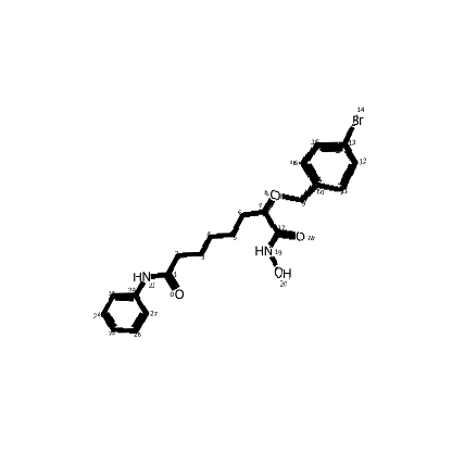 O=C(CCCCCC(OCc1ccc(Br)cc1)C(=O)NO)Nc1ccccc1